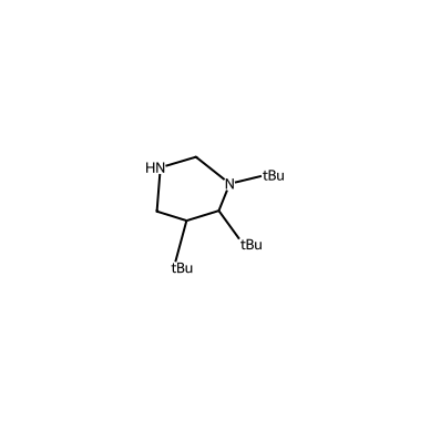 CC(C)(C)C1CNCN(C(C)(C)C)C1C(C)(C)C